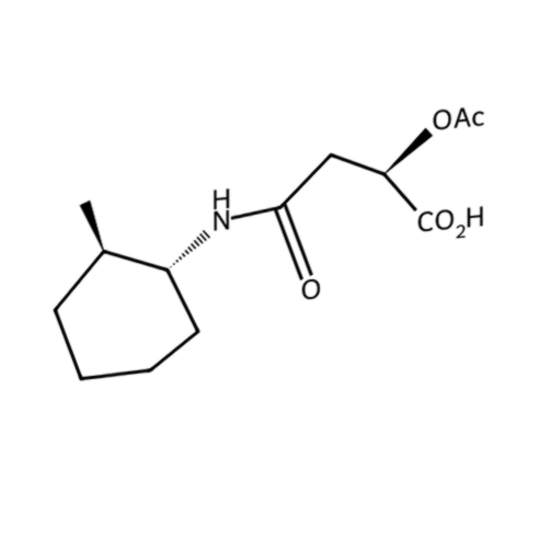 CC(=O)O[C@H](CC(=O)N[C@@H]1CCCC[C@H]1C)C(=O)O